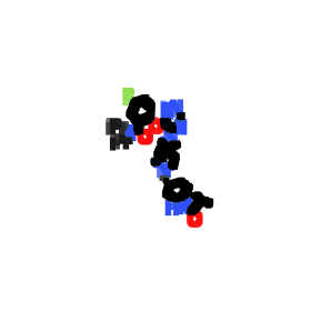 CC1C[C@]2(CC[C@@H](CN3CCC4(CC3)CN(c3ncnnc3Oc3ccc(F)cc3C(=O)N(C(C)C)C(C)C)C4)CC2)NC1=O